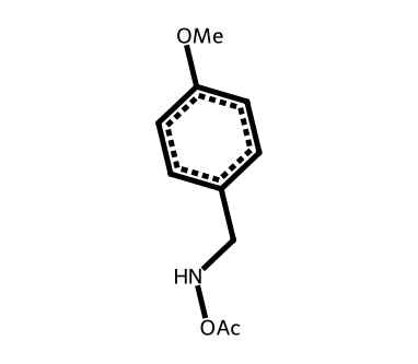 COc1ccc(CNOC(C)=O)cc1